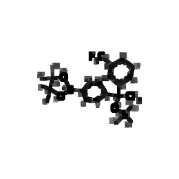 CC1(C)OB(c2ccc(C(O[Si](C)(C)C)(c3cccc(C(F)(F)F)c3)C(F)(F)F)cc2)OC1(C)C